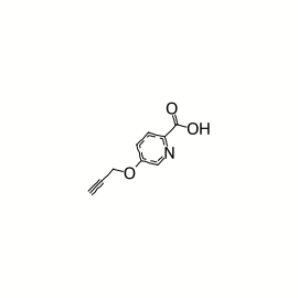 C#CCOc1ccc(C(=O)O)nc1